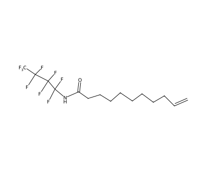 C=CCCCCCCCCC(=O)NC(F)(F)C(F)(F)C(F)(F)C(F)(F)F